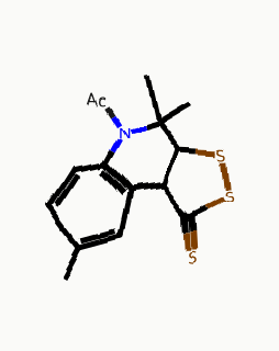 CC(=O)N1c2ccc(C)cc2C2C(=S)SSC2C1(C)C